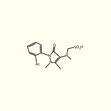 CC(=O)c1ccccc1-n1c(=O)c(N(C)CS(=O)(=O)O)c(C)n1C